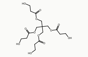 O=C(CCO)OCC(COC(=O)CCO)(COC(=O)CCO)COC(=O)CCO